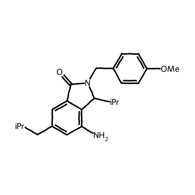 COc1ccc(CN2C(=O)c3cc(CC(C)C)cc(N)c3C2C(C)C)cc1